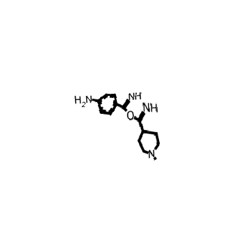 CN1CCC(C(=N)OC(=N)c2ccc(N)cc2)CC1